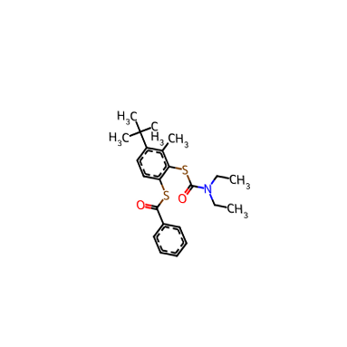 CCN(CC)C(=O)Sc1c(SC(=O)c2ccccc2)ccc(C(C)(C)C)c1C